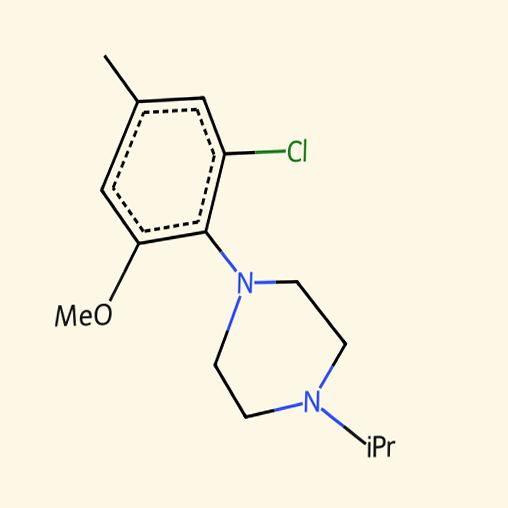 COc1cc(C)cc(Cl)c1N1CCN(C(C)C)CC1